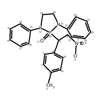 Cc1ccc(C(C[N+](=O)[O-])P2(=O)N(c3ccccc3)CCN2c2ccccc2)cc1